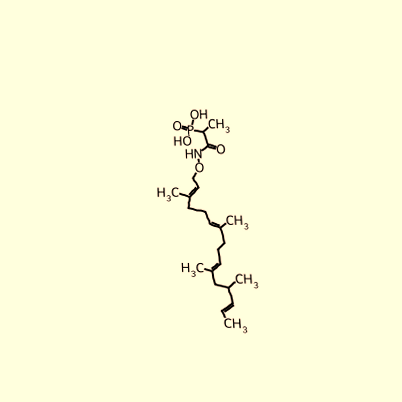 CC=CC(C)CC(C)=CCCC(C)=CCCC(C)=CCONC(=O)C(C)P(=O)(O)O